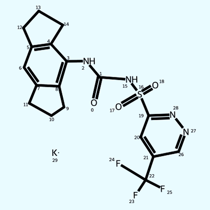 O=C(Nc1c2c(cc3c1CCC3)CCC2)NS(=O)(=O)c1cc(C(F)(F)F)cnn1.[K]